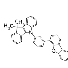 CC1(C)c2ccccc2-c2c1c1ccccc1n2-c1cccc(-c2cccc3c2oc2ccccc23)c1